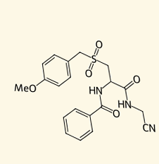 COc1ccc(CS(=O)(=O)CC(NC(=O)c2ccccc2)C(=O)NCC#N)cc1